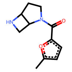 Cc1ccc(C(=O)N2CCC3NCC32)o1